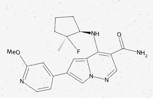 COc1cc(-c2cc3c(N[C@@H]4CCC[C@]4(C)F)c(C(N)=O)cnn3c2)ccn1